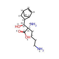 NCCCC[C@@](N)(C(=O)O)[C@@H](O)C1CC2C=CC1C2